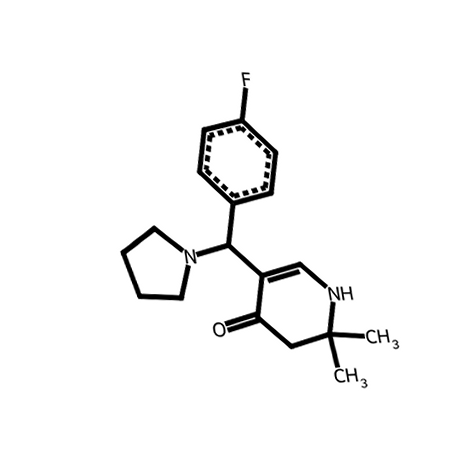 CC1(C)CC(=O)C(C(c2ccc(F)cc2)N2CCCC2)=CN1